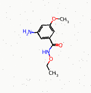 CCONC(=O)c1cc(N)cc(OC)c1